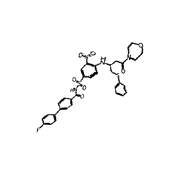 O=C(NS(=O)(=O)c1ccc(N[C@H](CSc2ccccc2)CC(=O)N2CCOCC2)c([N+](=O)[O-])c1)c1ccc(-c2ccc(F)cc2)cc1